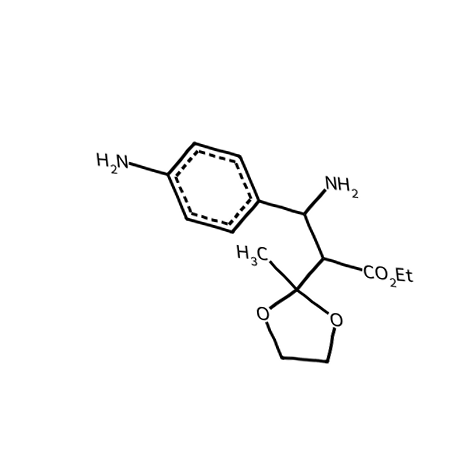 CCOC(=O)C(C(N)c1ccc(N)cc1)C1(C)OCCO1